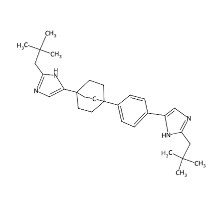 CC(C)(C)Cc1ncc(-c2ccc(C34CCC(c5cnc(CC(C)(C)C)[nH]5)(CC3)CC4)cc2)[nH]1